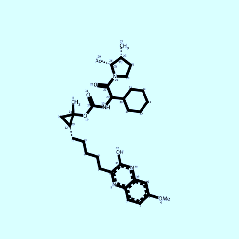 COc1ccc2nc(CCCCC[C@@H]3CC3(C)OC(=O)NC(C(=O)N3CC[C@@H](C)[C@H]3C(C)=O)C3CCCCC3)c(O)nc2c1